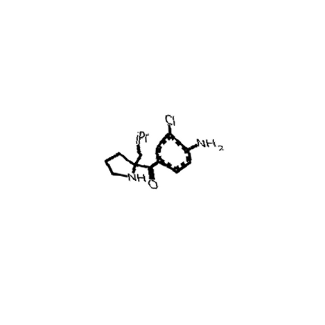 CC(C)CC1(C(=O)c2ccc(N)c(Cl)c2)CCCN1